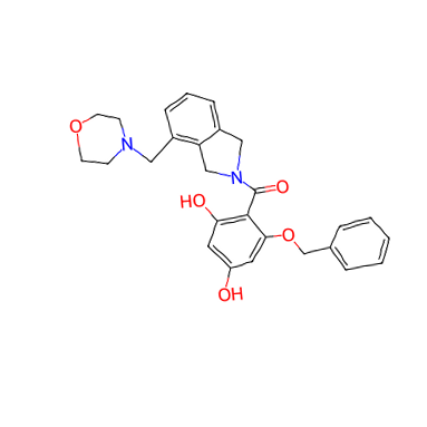 O=C(c1c(O)cc(O)cc1OCc1ccccc1)N1Cc2cccc(CN3CCOCC3)c2C1